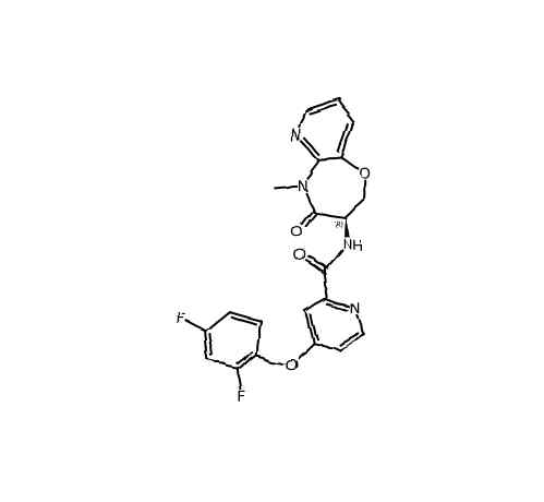 CN1C(=O)[C@H](NC(=O)c2cc(Oc3ccc(F)cc3F)ccn2)COc2cccnc21